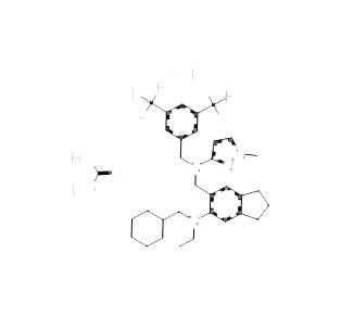 CCN(CC1CCCCC1)c1cc2c(cc1CN(Cc1cc(C(F)(F)F)cc(C(F)(F)F)c1)c1ccn(C)n1)CCC2.Cl.O=C(O)O